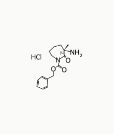 C[C@]1(N)CCCCN(C(=O)OCc2ccccc2)C1=O.Cl